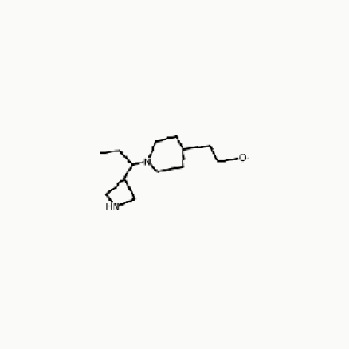 CCC(C1CNC1)N1CCC(CC[O])CC1